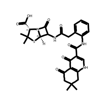 CC1(C)CC(=O)c2c([nH]cc(C(=O)Nc3ccccc3CC(=O)NC3C(=O)N4[C@@H]3SC(C)(C)[C@@H]4C(=O)O)c2=O)C1